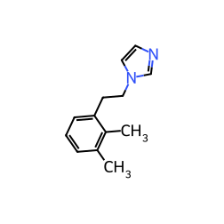 Cc1cccc(CCn2ccnc2)c1C